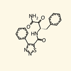 NC(=O)C(=O)[C@H](Cc1ccccc1)NC(=O)c1snnc1-c1ccccc1